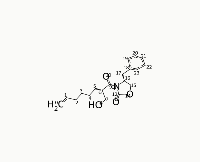 C=CCCCC[C@H](CO)C(=O)N1C(=O)OC[C@@H]1Cc1ccccc1